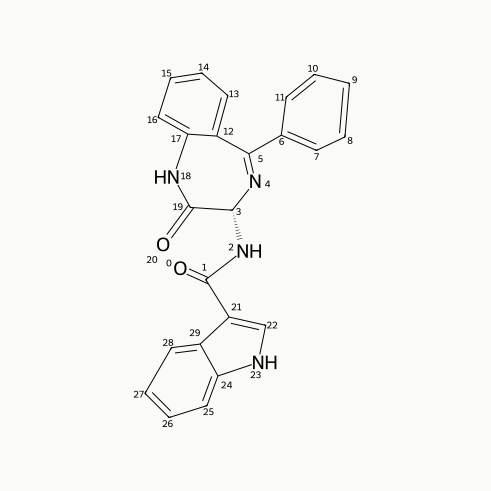 O=C(N[C@H]1N=C(c2ccccc2)c2ccccc2NC1=O)c1c[nH]c2ccccc12